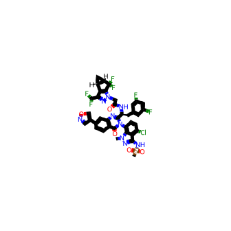 Cn1nc(NS(C)(=O)=O)c2c(Cl)ccc(-n3c([C@H](Cc4cc(F)cc(F)c4)NC(=O)Cn4nc(C(F)F)c5c4C(F)(F)[C@@H]4C[C@H]54)nc4cc(-c5cnoc5)ccc4c3=O)c21